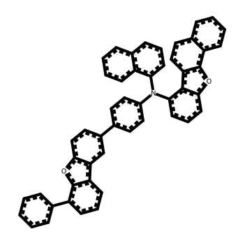 c1ccc(-c2cccc3c2oc2ccc(-c4ccc(N(c5cccc6ccccc56)c5cccc6oc7c8ccccc8ccc7c56)cc4)cc23)cc1